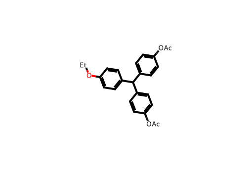 CCOc1ccc(C(c2ccc(OC(C)=O)cc2)c2ccc(OC(C)=O)cc2)cc1